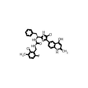 C=C1C=C(O)c2cc(-c3nc([C@H](Cc4ccccc4)NC(=O)NCc4c(F)ccc(C)c4Cl)[nH]c3Cl)ccc2N1